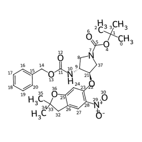 CC(C)(C)OC(=O)N1C[C@@H](NC(=O)OCc2ccccc2)[C@H](Oc2cc3c(cc2[N+](=O)[O-])CC(C)(C)O3)C1